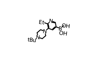 CCc1ncc(B(O)O)cc1N1CCN(C(C)(C)C)CC1